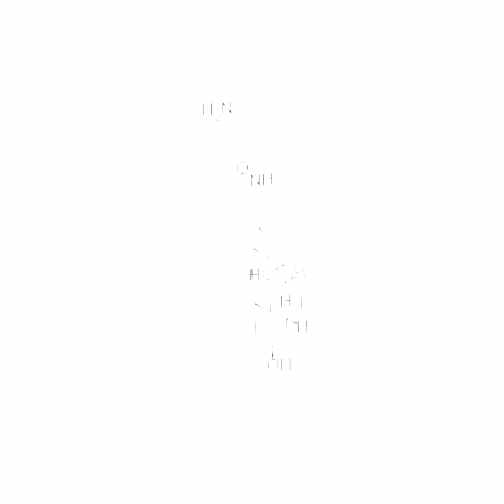 C[C@]12CC[C@H](O)C[C@H]1CC[C@@H]1[C@@H]2CC[C@]2(C)[C@@H](/C=C/CNOCCCN)CC[C@]12O